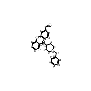 O=Cc1ccc2c(c1)Oc1ccccc1N2C1CCN(Cc2ccccc2)CC1